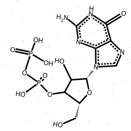 Nc1nc2c(ncn2[C@@H]2O[C@H](CO)C(OP(=O)(O)OP(=O)(O)O)C2O)c(=O)[nH]1